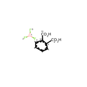 FB(F)F.O=C(O)c1ccccc1C(=O)O